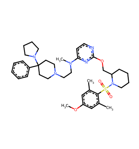 COc1cc(C)c(S(=O)(=O)N2CCCCC2COc2nccc(N(C)CCN3CCC(c4ccccc4)(N4CCCC4)CC3)n2)c(C)c1